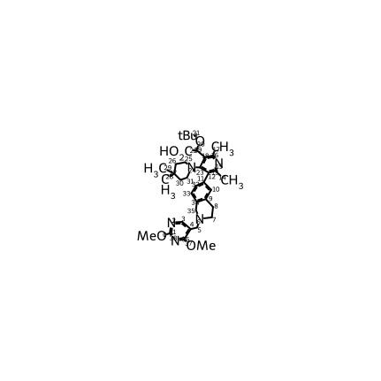 COc1ncc(CN2CCc3cc(-c4c(C)nc(C)c(C(OC(C)(C)C)C(=O)O)c4N4CCC(C)(C)CC4)ccc3C2)c(OC)n1